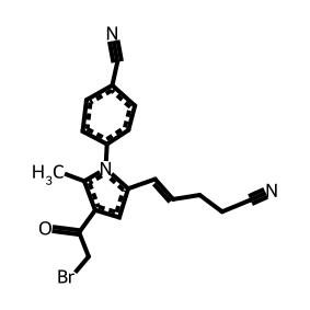 Cc1c(C(=O)CBr)cc(C=CCCC#N)n1-c1ccc(C#N)cc1